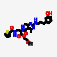 CCOCCOC(=O)C(CNC(=O)c1cccs1)NC(=O)c1c(C)nc(NCCCc2cccc(O)c2)nc1C